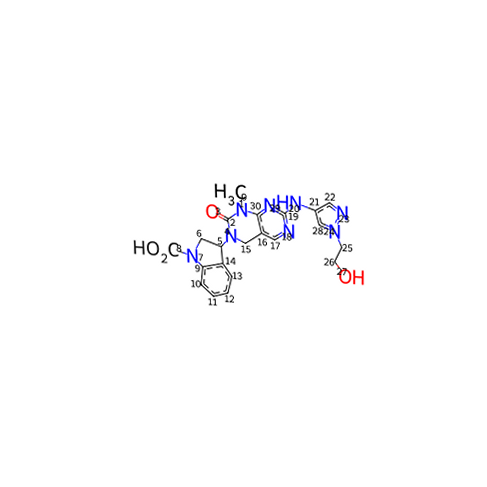 CN1C(=O)N(C2CN(C(=O)O)c3ccccc32)Cc2cnc(Nc3cnn(CCO)c3)nc21